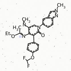 C=Nc1cn(-c2ccc3nn(C)cc3c2)c(=O)c(-c2ccc(OC(F)F)cc2)c1/N=C(\C)OCC